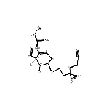 C#CCCC1(CCO[C@@H]2CC=C(NC(=O)OC(C)(C)C)[C@](C)(C=C)[C@@H]2C)N=N1